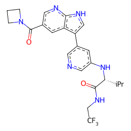 CC(C)[C@@H](Nc1cncc(-c2c[nH]c3ncc(C(=O)N4CCC4)cc23)c1)C(=O)NCC(F)(F)F